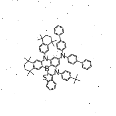 CC(C)(C)c1ccc(N2c3cc(N(c4ccc(-c5ccccc5)cc4)c4ccc(-c5ccccc5)cc4)cc4c3B(c3cc5c(cc3N4c3ccc4c(c3)C(C)(C)CCC4(C)C)C(C)(C)CCC5(C)C)c3sc4ccccc4c32)cc1